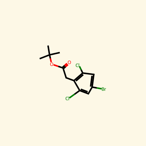 CC(C)(C)OC(=O)Cc1c(Cl)cc(Br)cc1Cl